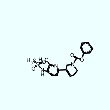 Cc1nc(C2=CCCN(C(=O)Oc3ccccc3)C2)ccc1NS(C)(=O)=O